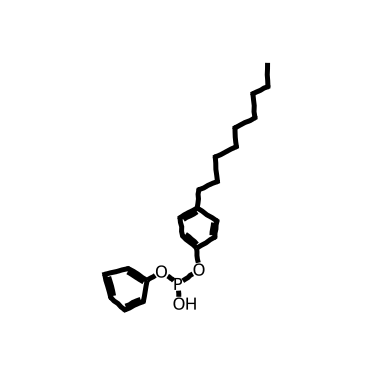 CCCCCCCCCc1ccc(OP(O)Oc2ccccc2)cc1